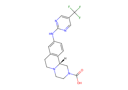 O=C(O)N1CCN2CCc3cc(Nc4ncc(C(F)(F)F)cn4)ccc3[C@@H]2C1